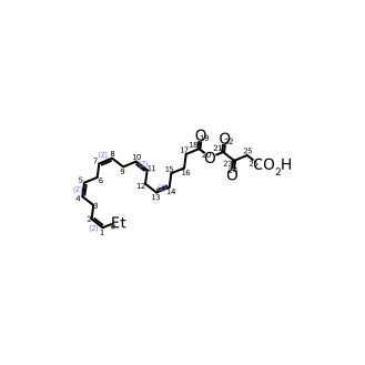 CC/C=C\C/C=C\C/C=C\C/C=C\C/C=C\CCCC(=O)OC(=O)C(=O)CC(=O)O